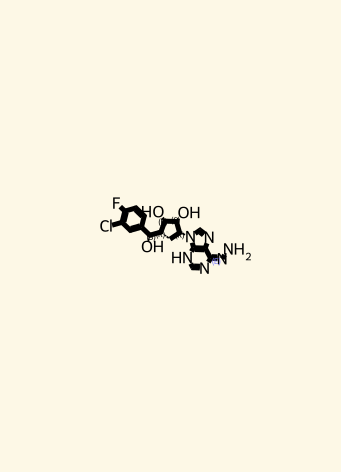 N/N=c1/nc[nH]c2c1ncn2[C@@H]1C[C@H]([C@H](O)c2ccc(F)c(Cl)c2)[C@@H](O)[C@H]1O